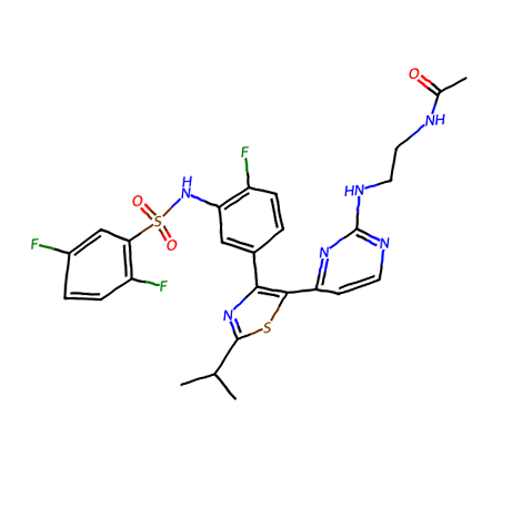 CC(=O)NCCNc1nccc(-c2sc(C(C)C)nc2-c2ccc(F)c(NS(=O)(=O)c3cc(F)ccc3F)c2)n1